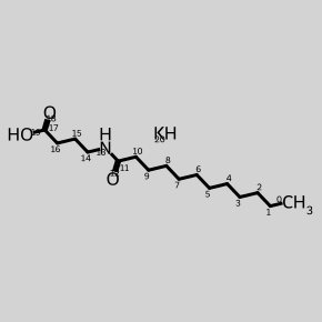 CCCCCCCCCCCC(=O)NCCCC(=O)O.[KH]